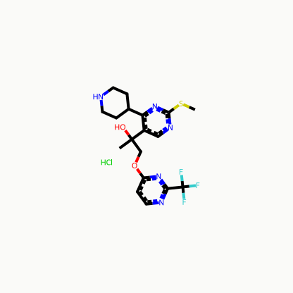 CSc1ncc(C(C)(O)COc2ccnc(C(F)(F)F)n2)c(C2CCNCC2)n1.Cl